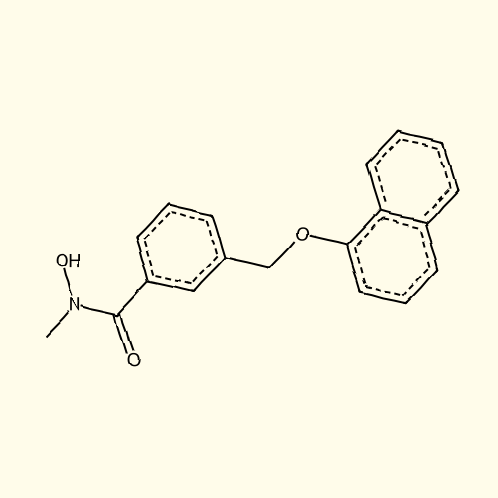 CN(O)C(=O)c1cccc(COc2cccc3ccccc23)c1